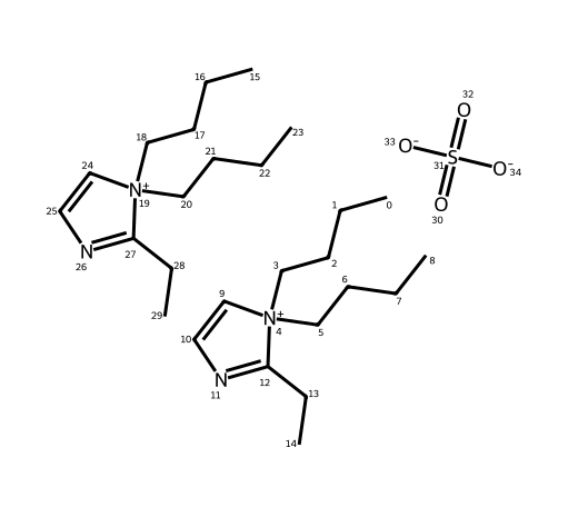 CCCC[N+]1(CCCC)C=CN=C1CC.CCCC[N+]1(CCCC)C=CN=C1CC.O=S(=O)([O-])[O-]